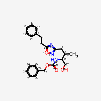 CC(Cc1noc(CCc2ccccc2)n1)C(CO)NC(=O)OCc1ccccc1